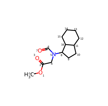 COC(=O)CN(C=O)C1CCC2CCCCC21